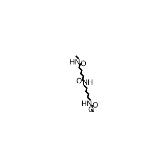 CCNC(=O)CCCCC(=O)NCCCCCCNC(=O)OC